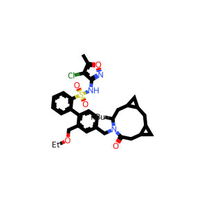 CCCCC1CC2CC2CC2CC2CC(=O)N1Cc1ccc(-c2ccccc2S(=O)(=O)Nc2noc(C)c2Cl)c(COCC)c1